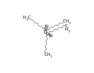 CCCCCCC[CH2][Sn]([Br])([CH2]CCCCCCC)[O][Sn]([Br])([CH2]CCCCCCC)[CH2]CCCCCCC